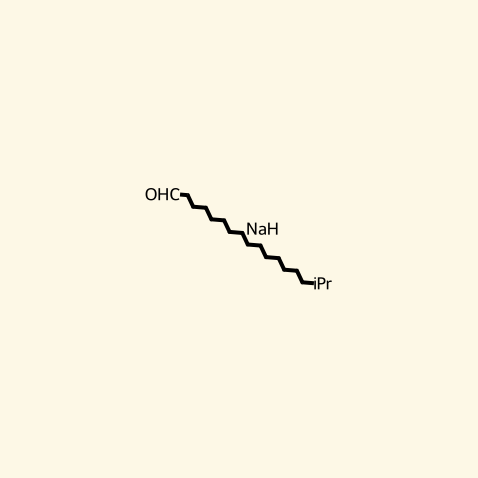 CC(C)CCCCCCCCCCCCCCC=O.[NaH]